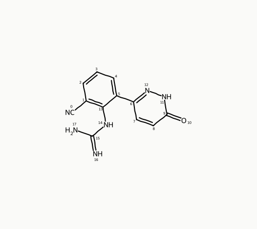 N#Cc1cccc(-c2ccc(=O)[nH]n2)c1NC(=N)N